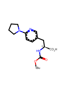 CC(C)(C)OC(=O)N[C@@H](Cc1ccc(N2CCCC2)nc1)C(=O)O